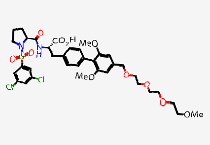 COCCOCCOCCOCc1cc(OC)c(-c2ccc(C[C@H](NC(=O)[C@@H]3CCCN3S(=O)(=O)c3cc(Cl)cc(Cl)c3)C(=O)O)cc2)c(OC)c1